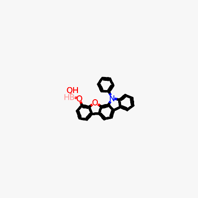 OBOc1cccc2c1oc1c2ccc2c3ccccc3n(-c3ccccc3)c21